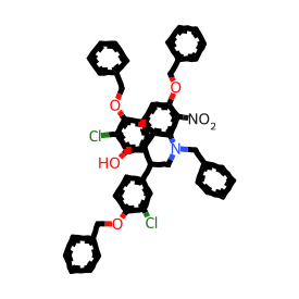 O=[N+]([O-])c1c(OCc2ccccc2)ccc(CCO)c1N(Cc1ccccc1)CC(c1ccc(OCc2ccccc2)c(Cl)c1)c1ccc(OCc2ccccc2)c(Cl)c1